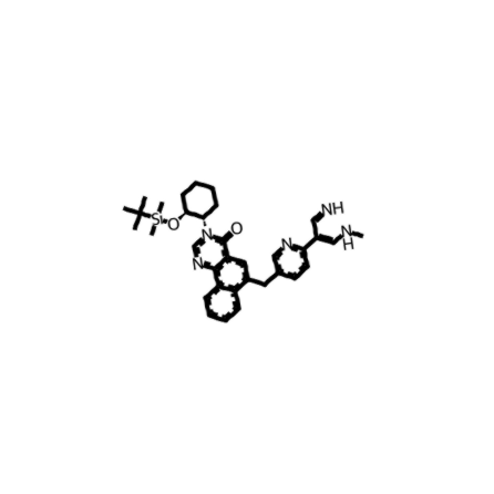 CN/C=C(\C=N)c1ccc(Cc2cc3c(=O)n([C@H]4CCCC[C@@H]4O[Si](C)(C)C(C)(C)C)cnc3c3ccccc23)cn1